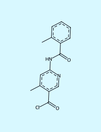 Cc1cc(NC(=O)c2ccccc2C)ncc1C(=O)Cl